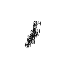 CC(c1cnc(OCC(F)(F)F)c(Cl)c1)N1Cc2c(ccnc2C(=O)NCCOCCO)C1=O